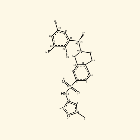 Cc1cc(NS(=O)(=O)c2ccc3c(c2)CN([C@H](C)c2cc(F)cc(F)c2F)CC3)no1